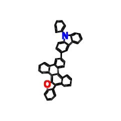 c1ccc(-n2c3ccccc3c3cc(-c4ccc5c(c4)c4ccccc4c4c6oc7ccccc7c6c6ccccc6c54)ccc32)cc1